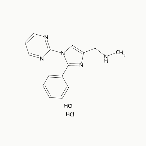 CNCc1cn(-c2ncccn2)c(-c2ccccc2)n1.Cl.Cl